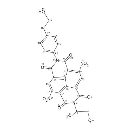 CC(C)C(CO)N1C(=O)c2cc([N+](=O)[O-])c3c4c(cc([N+](=O)[O-])c(c24)C1=O)C(=O)N(c1ccc(CCO)cc1)C3=O